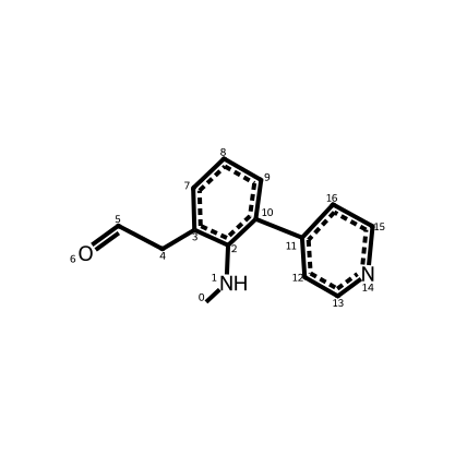 CNc1c(CC=O)cccc1-c1ccncc1